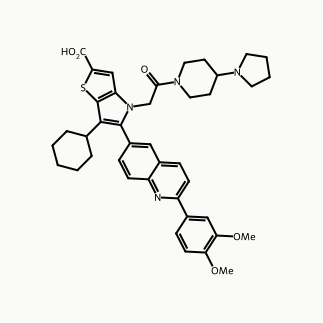 COc1ccc(-c2ccc3cc(-c4c(C5CCCCC5)c5sc(C(=O)O)cc5n4CC(=O)N4CCC(N5CCCC5)CC4)ccc3n2)cc1OC